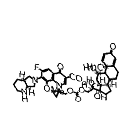 COc1c(N2C[C@@H]3CCCN[C@@H]3C2)c(F)cc2c(=O)c(C(=O)O)cn(C3(COC(=O)OCC(=O)[C@]4(O)CC[C@@H]5[C@H]6CCC7=CC(=O)C=C[C@@]7(C)C6[C@H](O)C[C@]54C)CC3)c12